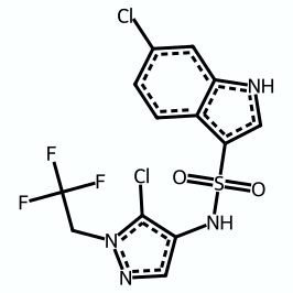 O=S(=O)(Nc1cnn(CC(F)(F)F)c1Cl)c1c[nH]c2cc(Cl)ccc12